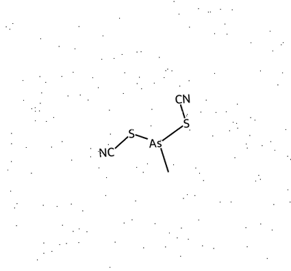 C[As](SC#N)SC#N